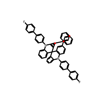 Fc1ccc(-c2ccc(N3c4ccccc4C4(c5ccccc5N(c5ccc(-c6ccc(F)cc6)cc5)c5ccc(-c6ccccc6)cc54)c4cc(-c5ccccc5)ccc43)cc2)cc1